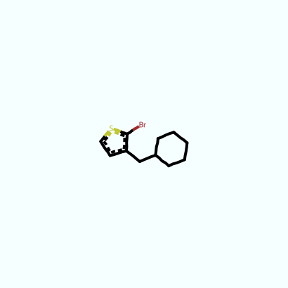 Brc1sccc1CC1CCCCC1